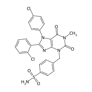 Cn1c(=O)c2c(nc(-c3ccccc3Cl)n2-c2ccc(Cl)cc2)n(Cc2ccc(S(N)(=O)=O)cc2)c1=O